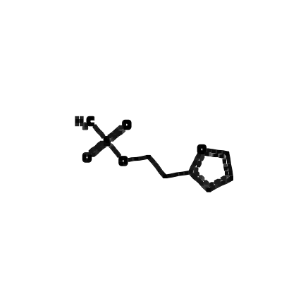 CS(=O)(=O)OCCc1ccco1